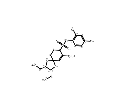 CCOC(=O)C1=CC2(CCC1S(=O)(=O)Nc1ccc(F)cc1Cl)O[C@H](COC(C)=O)[C@@H](COC(C)=O)O2